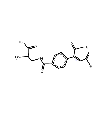 [2H]C(=O)/C=C(\C(C)=O)c1ccc(C(=O)NCC(C)C(C)=O)cc1